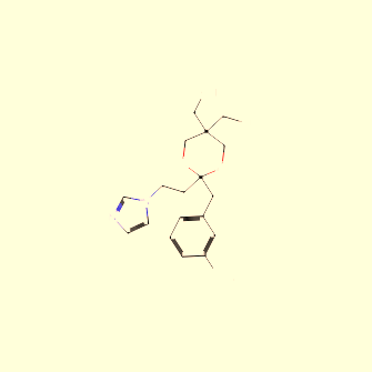 CCC1(CC)COC(CCn2ccnc2)(Cc2cccc(C)c2)OC1